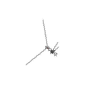 CCCCCCCCC1=C(c2cc(C)c(C)c(C)c2)[N+](=[N-])C(c2cc(C)c(C)c(C)c2)=C1CCCCC.CCCCCCCCCCCCCCCCCCCCCCCC[CH2][Ni][CH2]CCCCCCCCCCCCCCCCCCCCCCCC